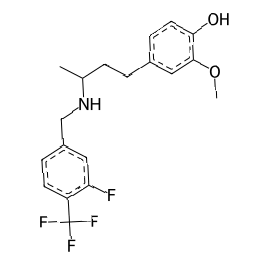 COc1cc(CCC(C)NCc2ccc(C(F)(F)F)c(F)c2)ccc1O